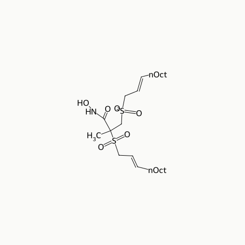 CCCCCCCCC=CCS(=O)(=O)CC(C)(C(=O)NO)S(=O)(=O)CC=CCCCCCCCC